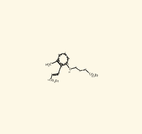 CCOC(=O)C=Cc1c(C)cccc1OCCCC(=O)OCC